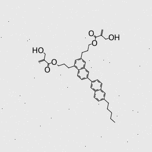 C=C(CO)C(=O)OCCCc1cc(CCCOC(=O)C(=C)CO)c2ccc(-c3ccc4cc(CCCCC)ccc4c3)cc2c1